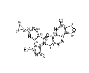 CCn1cc(N(Cc2ccc3c4c(c(Cl)nc3c2)COC4)C(=O)c2cnc(C3CC3)nc2)c(C)n1